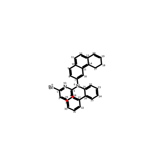 Brc1cccc(N(c2ccc3ccc4c(c3c2)CCC=C4)c2ccccc2-c2ccccc2)n1